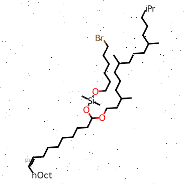 CCCCCCCC/C=C\CCCCCCCC(OCCC(C)CCCC(C)CCCC(C)CCCC(C)C)O[Si](C)(C)OCCCCCCBr